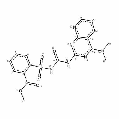 COC(=O)c1ccccc1S(=O)(=O)NC(=O)Nc1nc(N(C)C)c2cccnc2n1